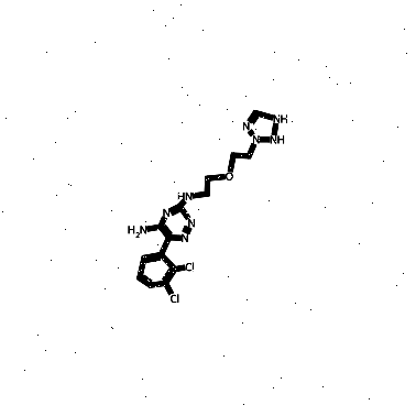 Nc1nc(NCCOCCN2N=CNN2)nnc1-c1cccc(Cl)c1Cl